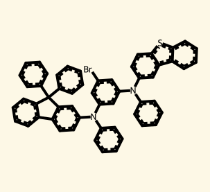 Brc1cc(N(c2ccccc2)c2ccc3c(c2)C(c2ccccc2)(c2ccccc2)c2ccccc2-3)cc(N(c2ccccc2)c2ccc3sc4ccccc4c3c2)c1